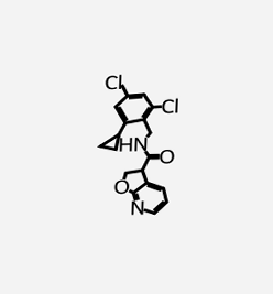 O=C(NCc1c(Cl)cc(Cl)cc1C1CC1)C1COc2ncccc21